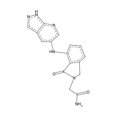 NC(=O)CN1Cc2cccc(Nc3cnc4[nH]ncc4c3)c2C1=O